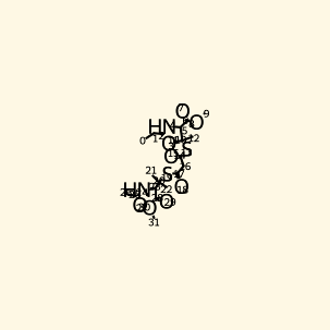 CCC(=O)NC(C(=O)OC)C(C)(C)SC(=O)CC(=O)SC(C)(C)C(NC(C)=O)C(=O)OC